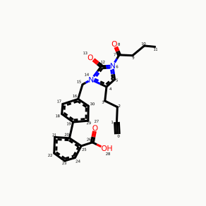 C#CCCc1cn(C(=O)CCC)c(=O)n1Cc1ccc(-c2ccccc2C(=O)O)cc1